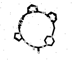 O=C1CN2CCN(CC2)Cc2cccc(c2)Nc2cc(ccn2)-c2cnc(nc2)N2CC=CC2CCN1